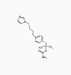 CC(C)(Cc1ccc(CCCCn2ccnn2)cc1)OC(N)=O